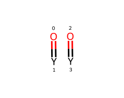 [O]=[Y].[O]=[Y]